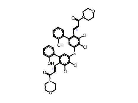 O=C(/C=C/c1c(-c2ccccc2O)cc(Sc2cc(-c3ccccc3O)c(/C=C/C(=O)N3CCOCC3)c(Cl)c2Cl)c(Cl)c1Cl)N1CCOCC1